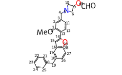 COc1cc(CN2CC(OC=O)C2)ccc1-c1cc2cc(Cc3ccccc3)ccc2o1